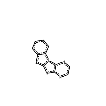 c1ccc2c(c1)sc1nc3nccnc3n12